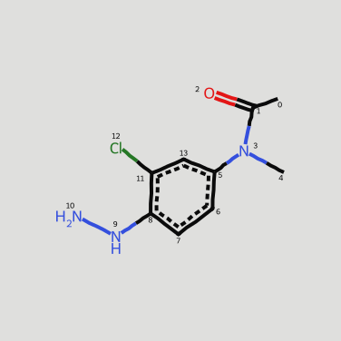 CC(=O)N(C)c1ccc(NN)c(Cl)c1